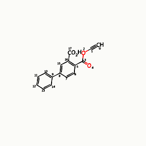 C#COC(=O)c1ccc(-c2ccccc2)cc1C(=O)O